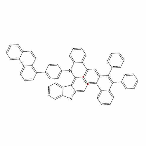 c1ccc(-c2c(-c3ccccc3)c3cc(-c4ccccc4N(c4ccc(-c5cccc6c5ccc5ccccc56)cc4)c4cccc5sc6ccccc6c45)ccc3c3ccccc23)cc1